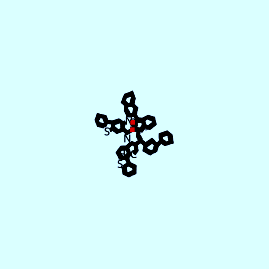 CCC1/C(c2cccc(-c3ccccc3)c2)=C/CC(C)/C(c2cc3sc4ccccc4c3cc2-n2c3cc4ccccc4cc3c3c4ccccc4ccc32)=N\C1c1ccc2sc3ccccc3c2c1